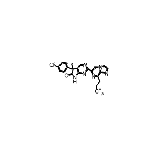 CC1(c2ccc(Cl)cc2)C(=O)Nc2nc(-c3cn4ccnc4c(CCC(F)(F)F)n3)ncc21